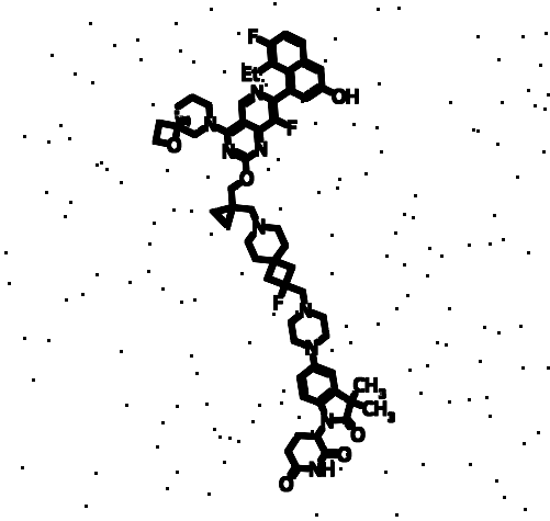 CCc1c(F)ccc2cc(O)cc(-c3ncc4c(N5CCC[C@]6(CCO6)C5)nc(OCC5(CN6CCC7(CC6)CC(F)(CN6CCN(c8ccc9c(c8)C(C)(C)C(=O)N9C8CCC(=O)NC8=O)CC6)C7)CC5)nc4c3F)c12